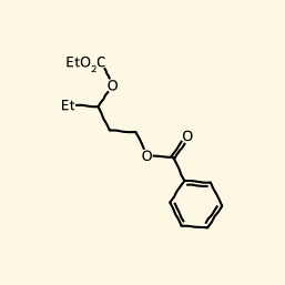 CCOC(=O)OC(CC)CCOC(=O)c1ccccc1